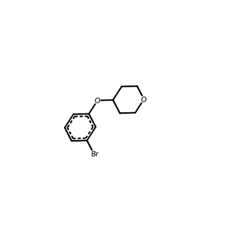 Brc1cccc(OC2CCOCC2)c1